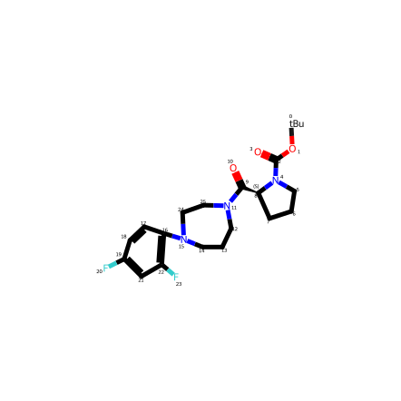 CC(C)(C)OC(=O)N1CCC[C@H]1C(=O)N1CCCN(c2ccc(F)cc2F)CC1